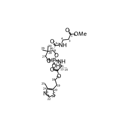 COC(=O)CCNC(=O)[C@@H]1O[PH](O)(N[C@H](C)C(=O)OCCc2scnc2C)OCC1(C)C